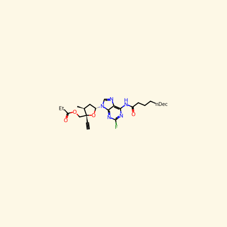 C#C[C@]1(COC(=O)CC)O[C@@H](n2cnc3c(NC(=O)CCCCCCCCCCCCC)nc(F)nc32)C[C@@H]1C